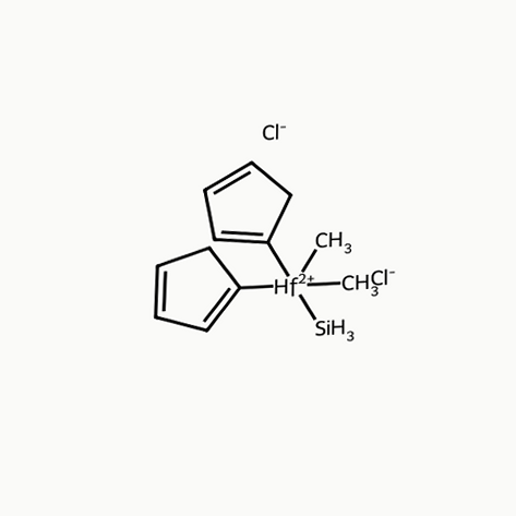 [CH3][Hf+2]([CH3])([SiH3])([C]1=CC=CC1)[C]1=CC=CC1.[Cl-].[Cl-]